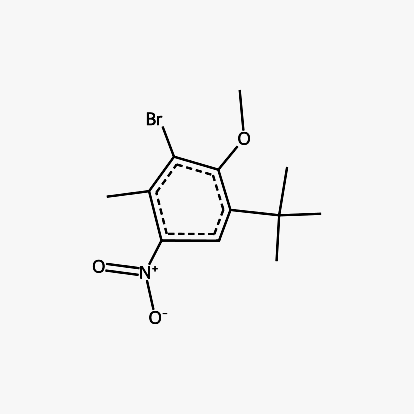 COc1c(C(C)(C)C)cc([N+](=O)[O-])c(C)c1Br